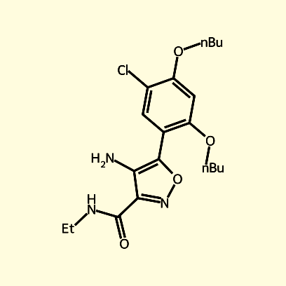 CCCCOc1cc(OCCCC)c(-c2onc(C(=O)NCC)c2N)cc1Cl